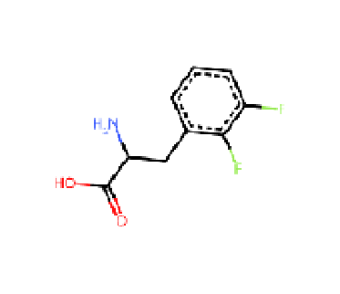 NC(Cc1cccc(F)c1F)C(=O)O